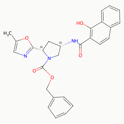 Cc1cnc([C@@H]2C[C@H](NC(=O)c3ccc4ccccc4c3O)CN2C(=O)OCc2ccccc2)o1